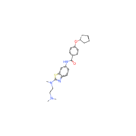 CN(C)CCN(C)c1nc2ccc(NC(=O)c3ccc(OC4CCCC4)cc3)cc2s1